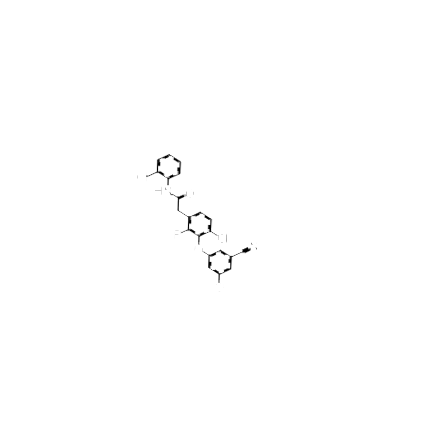 N#Cc1cc(Cl)cc(Oc2c(Cl)ccc(CC(=O)Nc3ccccc3Cl)c2F)c1